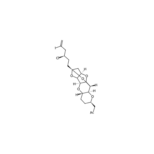 C=C(I)C[C@H](Cl)CC[C@@]12C[C@H]3OC4[C@@H](O[C@H]5CC[C@H](CC(C)=O)O[C@@H]5[C@@H]4O1)C3O2